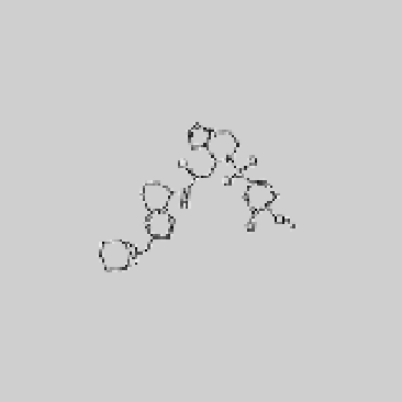 Cc1ccc(S(=O)(=O)N2CCn3cccc3C2CC(=O)NC2CCCc3cc(CN4C5CCCC4CC5)ccc32)cc1Cl